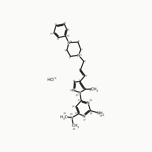 Cc1c(C=CCN2CCN(c3ccccc3)CC2)cnn1-c1cc(N(C)C)nc(N)n1.Cl